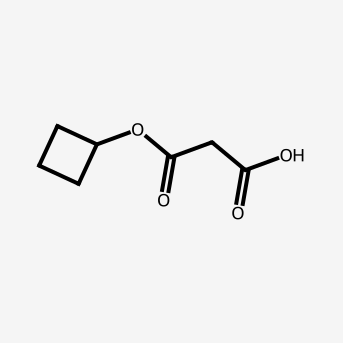 O=C(O)CC(=O)OC1CCC1